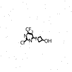 OC1CN(c2cc(C(F)(F)F)nc(Cl)n2)C1